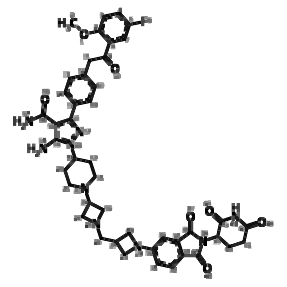 COc1ccc(F)cc1C(=O)Cc1ccc(-c2nn(C3CCN(C4CN(CC5CN(c6ccc7c(c6)C(=O)N(C6CCC(=O)NC6=O)C7=O)C5)C4)CC3)c(N)c2C(N)=O)cc1